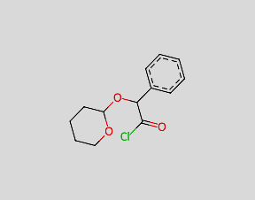 O=C(Cl)C(OC1CCCCO1)c1ccccc1